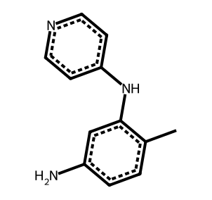 Cc1ccc(N)cc1Nc1ccncc1